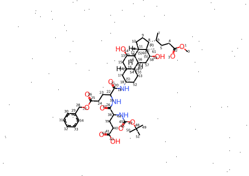 COC(=O)CCC(C)[C@H]1CC[C@H]2[C@@H]3[C@H](O)C[C@@H]4C[C@@H](NC(=O)C(CCC(=O)OCc5ccccc5)NC(=O)C(CCC(=O)O)NC(=O)OC(C)(C)C)CC[C@]4(C)[C@H]3C[C@H](O)[C@]12C